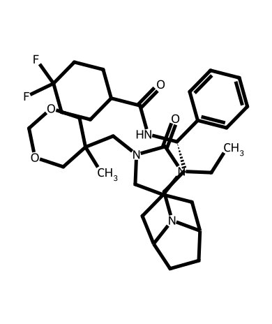 CCN1C(=O)N(CC2(C)COCOC2)CC12CC1CCC(C2)N1CC[C@H](NC(=O)C1CCC(F)(F)CC1)c1ccccc1